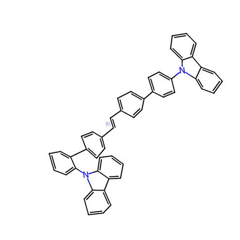 C(=C\c1ccc(-c2ccccc2-n2c3ccccc3c3ccccc32)cc1)/c1ccc(-c2ccc(-n3c4ccccc4c4ccccc43)cc2)cc1